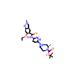 CCOc1cc2nn(C)cc2cc1C(=O)Nc1ccc(N2CCN(C(=O)OC(C)(C)C)[C@H](C)C2)nn1